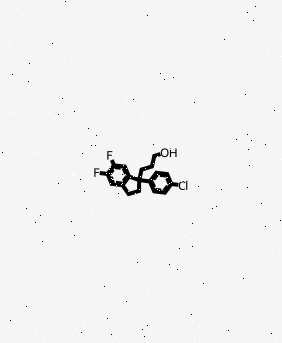 OCCCC1(c2ccc(Cl)cc2)CCc2cc(F)c(F)cc21